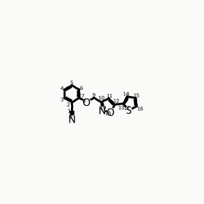 N#Cc1ccccc1OCc1cc(-c2cccs2)on1